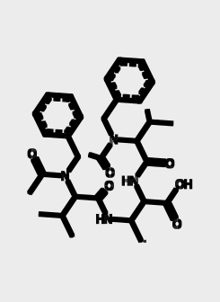 [CH2]C(NC(=O)C(C(C)C)N(Cc1ccccc1)C(C)=O)C(NC(=O)C(C(C)C)N(Cc1ccccc1)C(C)=O)C(=O)O